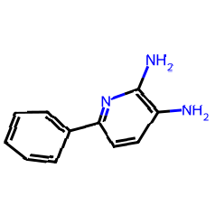 Nc1ccc(-c2ccccc2)nc1N